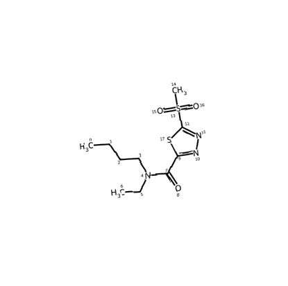 CCCCN(CC)C(=O)c1nnc(S(C)(=O)=O)s1